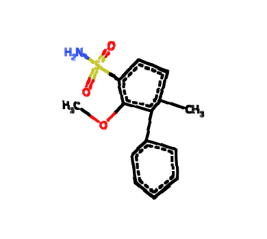 COc1c(S(N)(=O)=O)ccc(C)c1-c1ccccc1